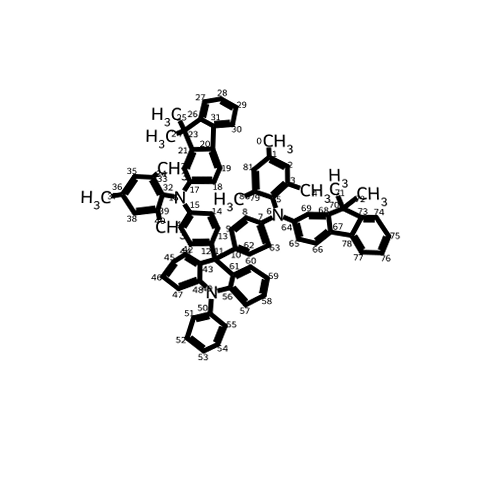 Cc1cc(C)c(N(c2ccc(C3(c4ccc(N(c5ccc6c(c5)C(C)(C)c5ccccc5-6)c5c(C)cc(C)cc5C)cc4)c4ccccc4N(c4ccccc4)c4ccccc43)cc2)c2ccc3c(c2)C(C)(C)c2ccccc2-3)c(C)c1